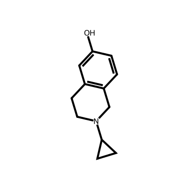 Oc1ccc2c(c1)CCN(C1CC1)C2